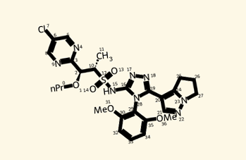 CCCO[C@@H](c1ncc(Cl)cn1)[C@H](C)S(=O)(=O)Nc1nnc(-c2cnn3c2CCC3)n1-c1c(OC)cccc1OC